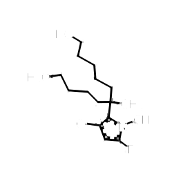 CCCCCCC(C)(CCCCC)c1c(Cl)cc(F)n1C